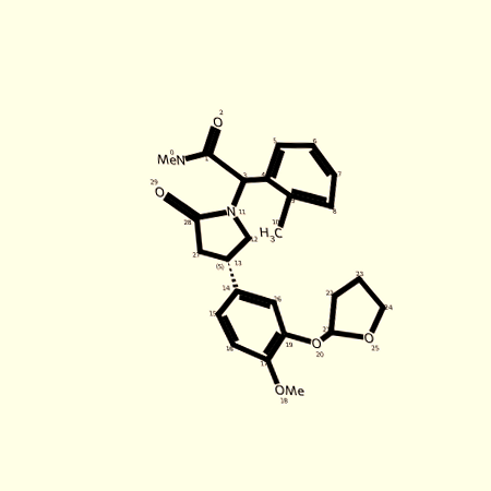 CNC(=O)C(c1ccccc1C)N1C[C@H](c2ccc(OC)c(OC3CCCO3)c2)CC1=O